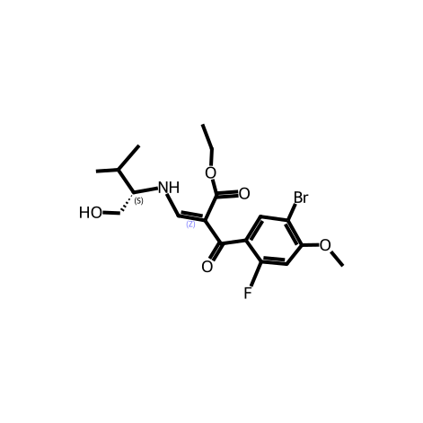 CCOC(=O)/C(=C\N[C@H](CO)C(C)C)C(=O)c1cc(Br)c(OC)cc1F